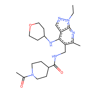 CCn1ncc2c(NC3CCOCC3)c(CNC(=O)C3CCN(C(C)=O)CC3)c(C)nc21